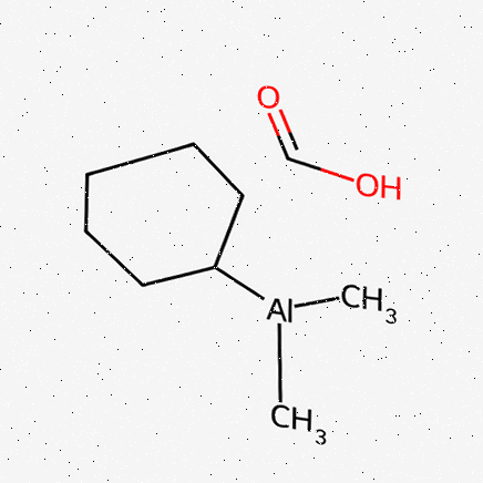 O=CO.[CH3][Al]([CH3])[CH]1CCCCC1